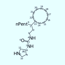 CCCCCC(CCNC(=O)N[C@@H]1CCNC1)c1ccccccccc1